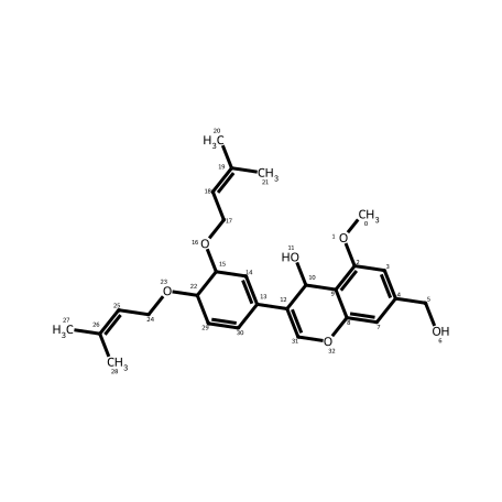 COc1cc(CO)cc2c1C(O)C(C1=CC(OCC=C(C)C)C(OCC=C(C)C)C=C1)=CO2